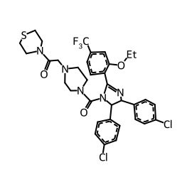 CCOc1cc(C(F)(F)F)ccc1C1=NC(c2ccc(Cl)cc2)C(c2ccc(Cl)cc2)N1C(=O)N1CCN(CC(=O)N2CCSCC2)CC1